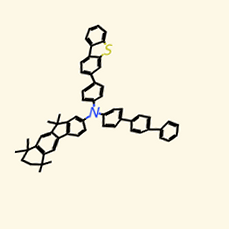 CC1(C)CCC(C)(C)c2cc3c(cc21)-c1ccc(N(c2ccc(-c4ccc(-c5ccccc5)cc4)cc2)c2ccc(-c4ccc5c(c4)sc4ccccc45)cc2)cc1C3(C)C